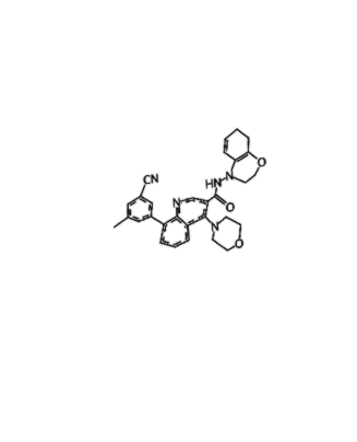 Cc1cc(C#N)cc(-c2cccc3c(N4CCOCC4)c(C(=O)NN4CCOC5=C4C=CCC5)cnc23)c1